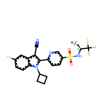 C[C@H](NS(=O)(=O)c1ccc(-c2c(C#N)c3cc(F)ccc3n2C2CCC2)nc1)C(F)(F)F